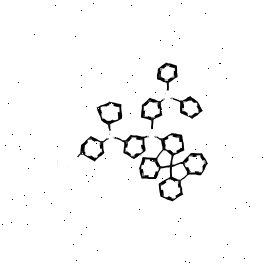 Cc1ccc(N(c2ccccc2)c2cccc(N(c3cccc(N(c4ccccc4)c4ccccc4)c3)c3cccc4c3-c3ccccc3C43c4ccccc4-c4ccccc43)c2)cc1